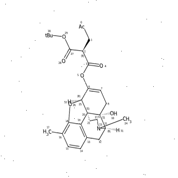 CC(=O)C[C@@H](C(=O)OC1=CC[C@@]2(O)[C@H]3Cc4ccc(C)c5c4[C@@]2(CCN3C)[C@H]1O5)C(=O)OC(C)(C)C